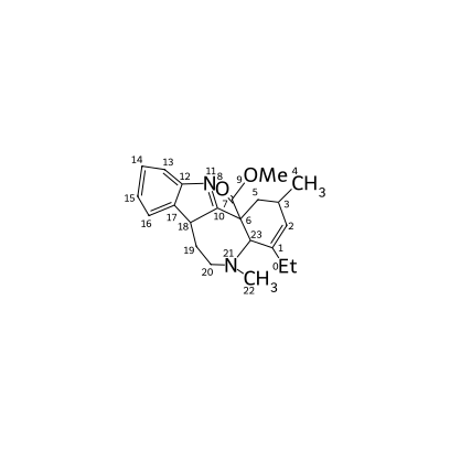 CCC1=CC(C)CC2(C(=O)OC)C3=Nc4ccccc4C3CCN(C)C12